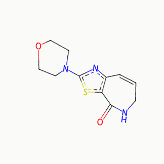 O=C1NCC=Cc2nc(N3CCOCC3)sc21